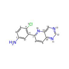 Nc1ccc(Cl)c(-c2ccc3ncncc3n2)c1